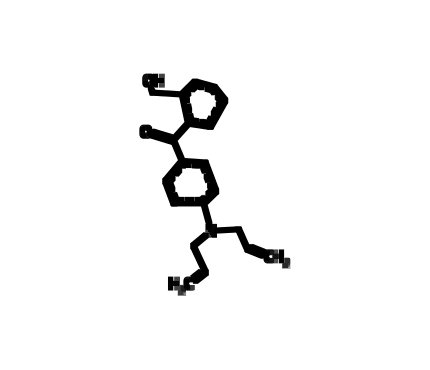 C=CCN(CC=C)c1ccc(C(=O)c2ccccc2CO)cc1